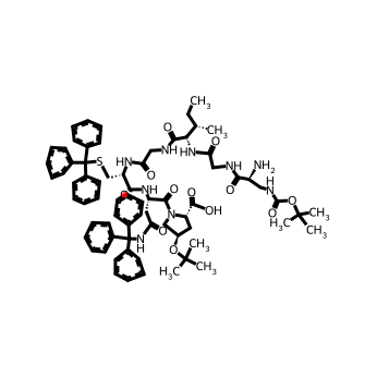 CC[C@H](C)[C@H](NC(=O)CNC(=O)[C@@H](N)CNC(=O)OC(C)(C)C)C(=O)NCC(=O)N[C@@H](CSC(c1ccccc1)(c1ccccc1)c1ccccc1)C(=O)N[C@@H](CC(=O)NC(c1ccccc1)(c1ccccc1)c1ccccc1)C(=O)N1C[C@H](OC(C)(C)C)C[C@H]1C(=O)O